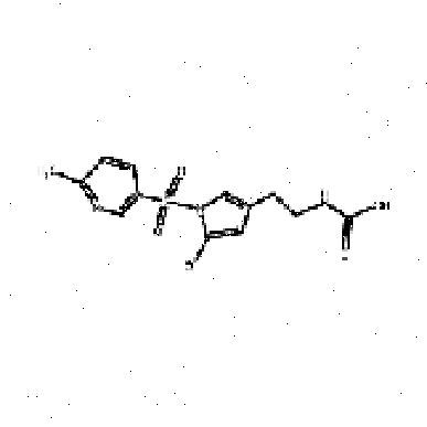 Cc1ccc(S(=O)(=O)n2cc(CCNC(=O)O)cc2Br)cn1